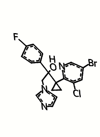 OC(Cn1ccnc1)(c1ccc(F)cc1)C1(c2ncc(Br)cc2Cl)CC1